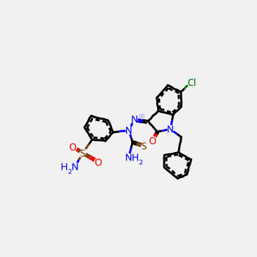 NC(=S)N(/N=C1\C(=O)N(Cc2ccccc2)c2cc(Cl)ccc21)c1cccc(S(N)(=O)=O)c1